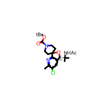 CC(=O)NC(C)(C)[C@H]1OC2(CCN(C(=O)OC(C)(C)C)CC2)c2nc(C)c(Cl)cc21